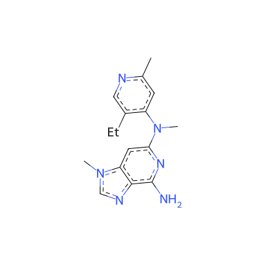 CCc1cnc(C)cc1N(C)c1cc2c(ncn2C)c(N)n1